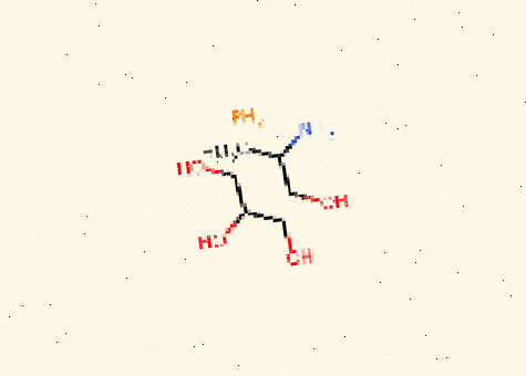 NC(CO)C(=O)O.OCC(O)CO.P